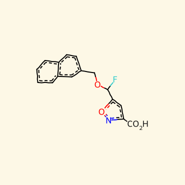 O=C(O)c1cc(C(F)OCc2ccc3ccccc3c2)on1